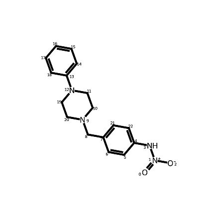 O=[N+]([O-])Nc1ccc(CN2CCN(c3ccccc3)CC2)cc1